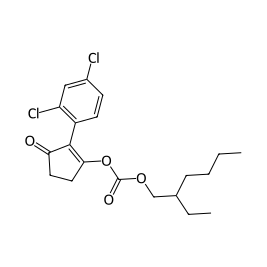 CCCCC(CC)COC(=O)OC1=C(c2ccc(Cl)cc2Cl)C(=O)CC1